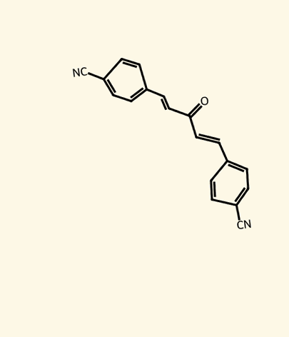 N#Cc1ccc(/C=C/C(=O)/C=C/c2ccc(C#N)cc2)cc1